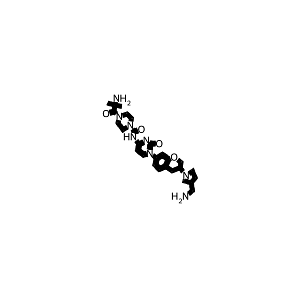 CC(C)(N)C(=O)N1CCN(C(=O)Nc2ccn(-c3ccc4c(c3)OCC(N3CCC(CN)C3)C4)c(=O)n2)CC1